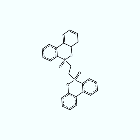 O=P1(CCP2(=O)Oc3ccccc3-c3ccccc32)OC2CC=CC=C2c2ccccc21